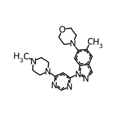 Cc1cc2cnn(-c3cc(N4CCN(C)CC4)ncn3)c2cc1N1CCOCC1